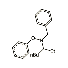 CCCCC(CC)N(Cc1ccccc1)Oc1ccccc1